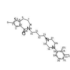 Cc1cc2c(s1)CCCN(CCCCN1CCN(c3cccc(C)c3C)CC1)C2=O